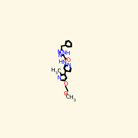 COCCOc1cnc(C)c(-c2ccnc(NC(=O)c3nnc(Cc4ccccc4)[nH]3)c2)c1